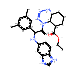 C=C(C(Nc1ccc2[nH]cnc2c1)c1cc(C)cc(C)c1)N(/N=N\N)C1CCCCC1C(=O)OCC